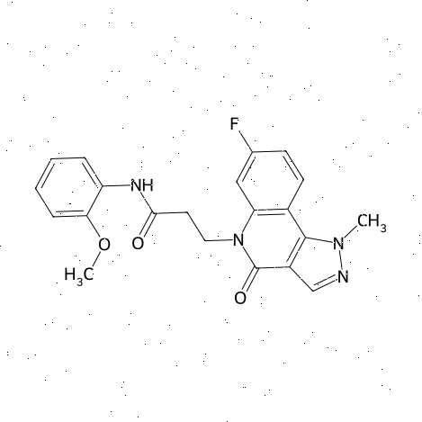 COc1ccccc1NC(=O)CCn1c(=O)c2cnn(C)c2c2ccc(F)cc21